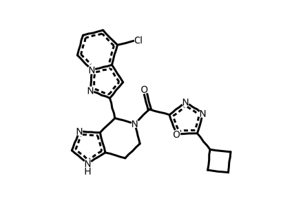 O=C(c1nnc(C2CCC2)o1)N1CCc2[nH]cnc2C1c1cc2c(Cl)cccn2n1